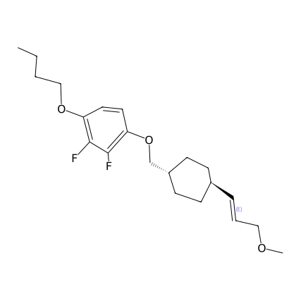 CCCCOc1ccc(OC[C@H]2CC[C@H](/C=C/COC)CC2)c(F)c1F